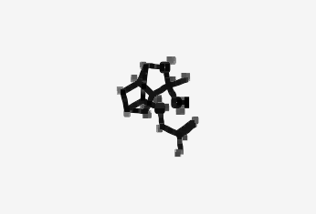 C=C(C)COC1C2CC3C1OC(C)(O)C3C2